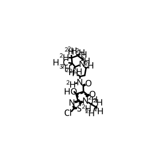 [2H]C(CC([2H])N1C([2H])([2H])C([2H])([2H])C([2H])([2H])C([2H])(C)C1([2H])[2H])N([2H])C(=O)c1c(O)c2nc(Cl)sc2n(C([2H])([2H])C([2H])([2H])[2H])c1=O